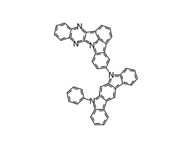 c1ccc(-n2c3ccccc3c3cc4c5ccccc5n(-c5ccc6c(c5)c5cccc7c8nc9ccccc9nc8n6c57)c4cc32)cc1